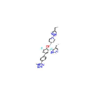 CCc1cnc(N2CCC(COc3c(F)cc(-c4ccc(-c5nnnn5C)cc4)cc3F)CC2)nc1.CCc1cncnc1